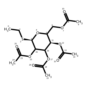 CCS[C@H]1OC(COC(C)=O)[C@@H](OC(C)=O)C(OC(C)=O)C1OC(C)=O